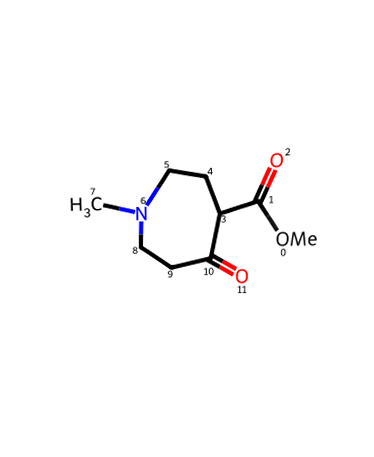 COC(=O)C1CCN(C)CCC1=O